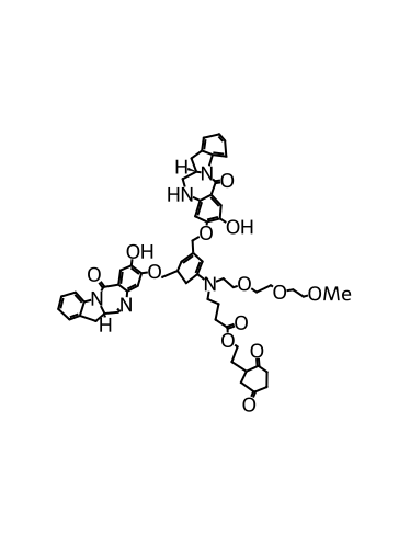 COCCOCCOCCN(CCCC(=O)OCCC1CC(=O)CCC1=O)C1=CC(COc2cc3c(cc2O)C(=O)N2c4ccccc4C[C@H]2CN3)=CC(COc2cc3c(cc2O)C(=O)N2c4ccccc4C[C@H]2C=N3)C1